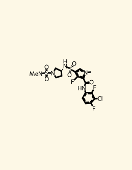 CNS(=O)(=O)N1CC[C@@H](NS(=O)(=O)c2cn(C)c(C(=O)Nc3ccc(F)c(Cl)c3F)c2F)C1